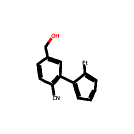 CCc1ccccc1-c1cc(CO)ccc1C#N